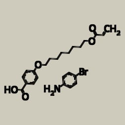 C=CC(=O)OCCCCCCCCOc1ccc(C(=O)O)cc1.Nc1ccc(Br)cc1